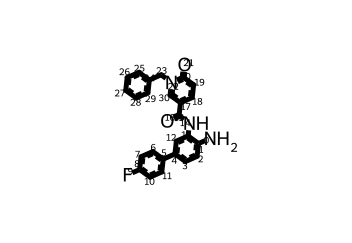 Nc1ccc(-c2ccc(F)cc2)cc1NC(=O)c1ccc(=O)n(Cc2ccccc2)c1